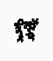 Cc1nc(F)ccc1Oc1ncc(C(F)(F)F)c(C)c1C(=O)Nc1cccc([S@@](C)(=O)=NC(=O)CN2CC(F)(F)C2)c1